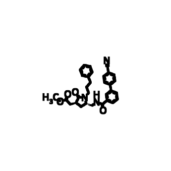 COC(=O)C[C@@H]1C[C@@H](CNC(=O)c2cccc(-c3ccc(C#N)cc3)c2)N(CCCc2ccccc2)C1=O